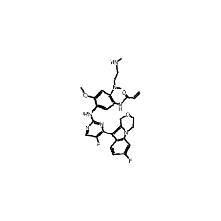 C=CC(=O)Nc1cc(Nc2ncc(F)c(-c3c4n(c5cc(F)ccc35)CCOC4)n2)c(OC)cc1N(C)CCNC